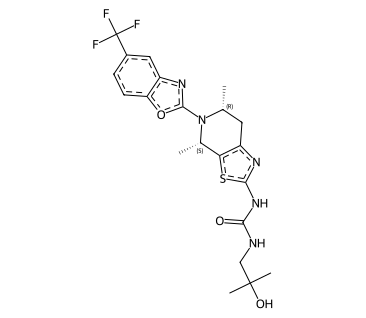 C[C@@H]1Cc2nc(NC(=O)NCC(C)(C)O)sc2[C@H](C)N1c1nc2cc(C(F)(F)F)ccc2o1